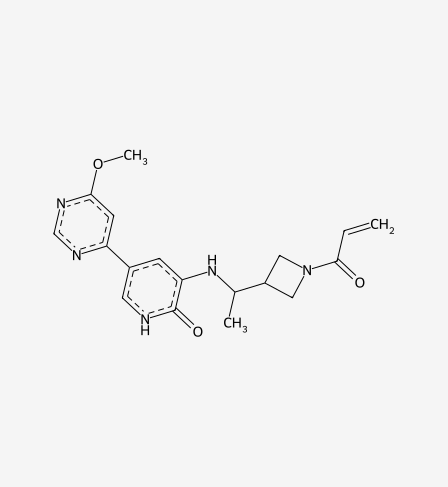 C=CC(=O)N1CC(C(C)Nc2cc(-c3cc(OC)ncn3)c[nH]c2=O)C1